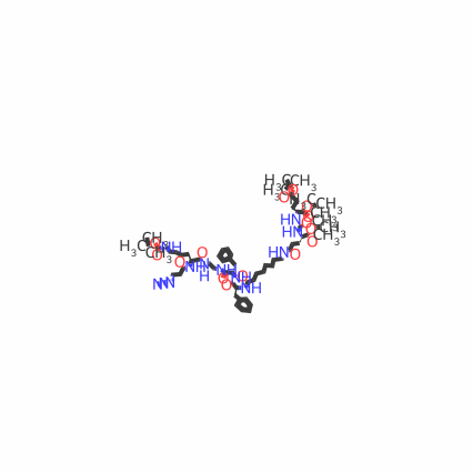 CC(C)(C)OC(=O)CC[C@H](NC(=O)N[C@@H](CCC(=O)NCCCCCCCC(=O)N[C@@H](Cc1ccccc1)C(=O)N[C@@H](Cc1ccccc1)C(=O)NCCNC(=O)[C@H](CCCCNC(=O)OC(C)(C)C)NC(=O)CCN=[N+]=[N-])C(=O)OC(C)(C)C)C(=O)OC(C)(C)C